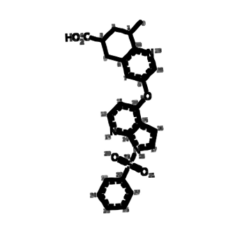 CC1CC(C(=O)O)Cc2cc(Oc3ccnc4c3ccn4S(=O)(=O)c3ccccc3)cnc21